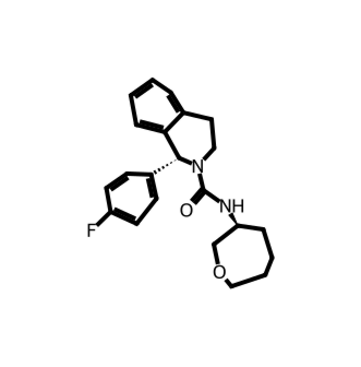 O=C(N[C@H]1CCCCOC1)N1CCc2ccccc2[C@H]1c1ccc(F)cc1